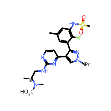 Cc1cc(NS(C)(=O)=O)c(F)c(-c2nn(C(C)C)cc2-c2ccnc(NC[C@H](C)N(C)C(=O)O)n2)c1